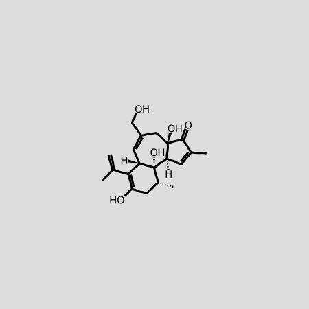 C=C(C)C1=C(O)C[C@@H](C)[C@@]2(O)[C@H]1C=C(CO)C[C@]1(O)C(=O)C(C)=C[C@@H]21